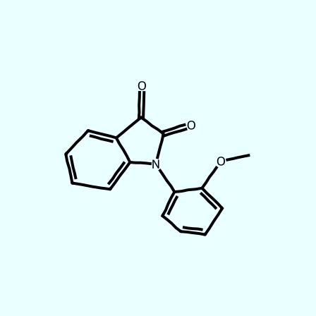 COc1ccccc1N1C(=O)C(=O)c2ccccc21